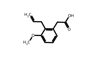 C=CCc1c(CC(=O)O)cccc1OC